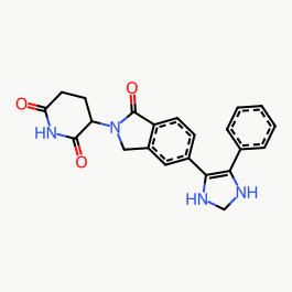 O=C1CCC(N2Cc3cc(C4=C(c5ccccc5)NCN4)ccc3C2=O)C(=O)N1